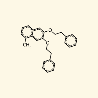 Cc1cccc2cc(OCCc3ccccc3)c(OCCc3ccccc3)cc12